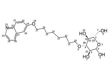 OC[C@@H]1OC(O)[C@@H](O)[C@H](OCCCCCCCCOc2ccc3ncccc3c2)[C@H]1O